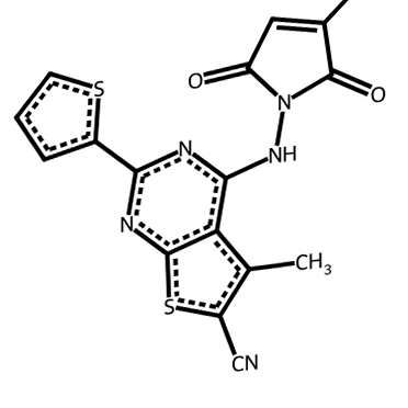 CC1=CC(=O)N(Nc2nc(-c3cccs3)nc3sc(C#N)c(C)c23)C1=O